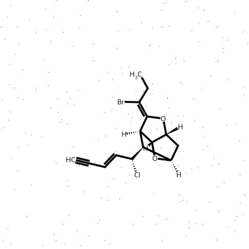 C#C/C=C/[C@@H](Cl)[C@H]1[C@H]2/C(=C(\Br)CC)O[C@@H]3C[C@H]1O[C@H]23